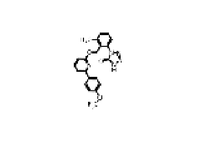 Cc1cccc(-n2nn[nH]c2=O)c1COc1cccc(-c2ccc(OC(F)(F)F)cc2)n1